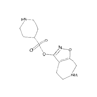 O=S(=O)(Oc1noc2c1CCNC2)C1CCNCC1